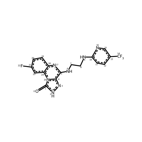 O=c1[nH]nc2c(NCCNc3ccc(C(F)(F)F)cn3)nc3ccc(F)cc3n12